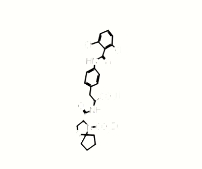 CCOC(=O)N1[C@@H](C(=O)N[C@@H](Cc2ccc(NC(=O)c3c(Cl)cccc3Cl)cc2)C(=O)O)CSC12CCCC2